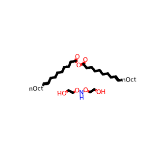 CCCCCCCCC=CCCCCCCCC(=O)OC(=O)CCCCCCCC=CCCCCCCCC.OCCONOCCO